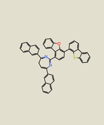 C1=C(c2ccc3ccccc3c2)N=C(c2ccc(-c3cccc4c3sc3ccccc34)c3oc4ccccc4c23)N=C(c2ccc3ccccc3c2)C1